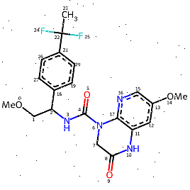 COCC(NC(=O)N1CC(=O)Nc2cc(OC)cnc21)c1ccc(C(C)(F)F)cc1